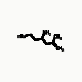 C=C(C)CC(N)CCCCCC